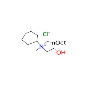 CCCCCCCCC[N+](C)(CCO)C1CCCCC1.[Cl-]